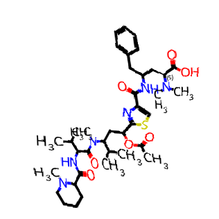 CC(=O)OC(CC(C(C)C)N(C)C(=O)C(NC(=O)C1CCCCN1C)C(C)C)c1nc(C(=O)NC(Cc2ccccc2)C[C@@H](C(=O)O)N(C)C)cs1